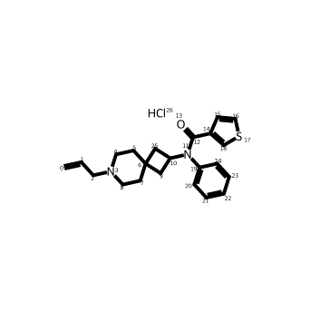 C=CCN1CCC2(CC1)CC(N(C(=O)c1ccsc1)c1ccccc1)C2.Cl